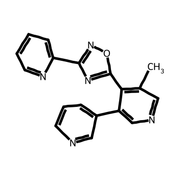 Cc1cncc(-c2cccnc2)c1-c1nc(-c2ccccn2)no1